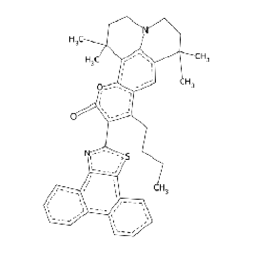 CCCCc1c(-c2nc3c4ccccc4c4ccccc4c3s2)c(=O)oc2c3c4c(cc12)C(C)(C)CCN4CCC3(C)C